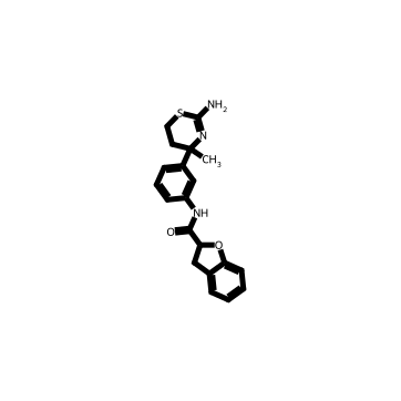 CC1(c2cccc(NC(=O)C3Cc4ccccc4O3)c2)CCSC(N)=N1